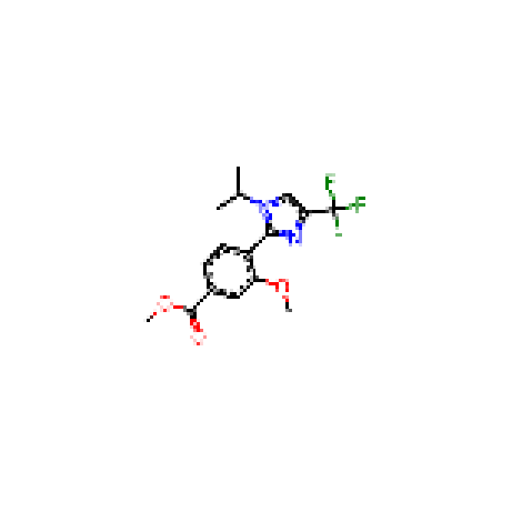 COC(=O)c1ccc(-c2nc(C(F)(F)F)cn2C(C)C)c(OC)c1